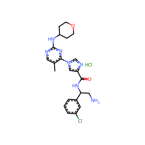 Cc1cnc(NC2CCOCC2)nc1-n1cnc(C(=O)NC(CN)c2cccc(Cl)c2)c1.Cl